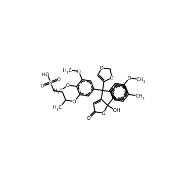 COc1ccc(C2(O)OC(=O)C=C2C(C2=COCO2)(c2ccc(C)cc2)c2cc(OC)c(OC)c(OC(C)CCS(=O)(=O)O)c2)cc1